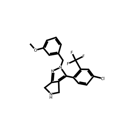 COc1cccc(Cn2nc3c(c2-c2ccc(Cl)cc2C(F)(F)F)CNC3)c1